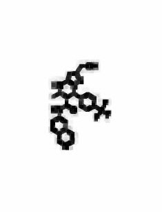 CC1=C(C(=O)Nc2ccc3cnccc3c2)C(c2ccc(C(F)(F)F)cc2)n2nc(CO)cc2N1